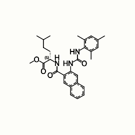 COC(=O)[C@H](CCC(C)C)NC(=O)c1cc2ccccc2cc1NC(=O)Nc1c(C)cc(C)cc1C